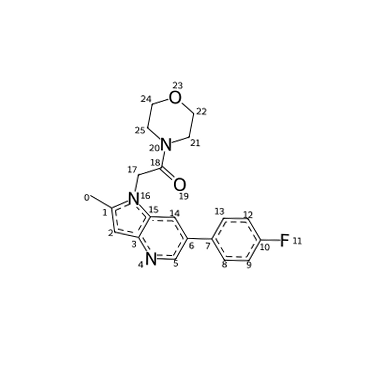 Cc1cc2ncc(-c3ccc(F)cc3)cc2n1CC(=O)N1CCOCC1